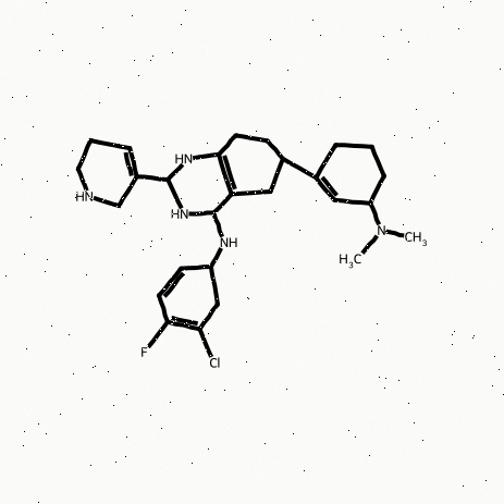 CN(C)C1C=C(C2CCC3=C(C2)C(NC2C=CC(F)=C(Cl)C2)NC(C2=CCCNC2)N3)CCC1